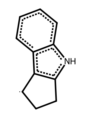 [CH]1CCc2[nH]c3ccccc3c21